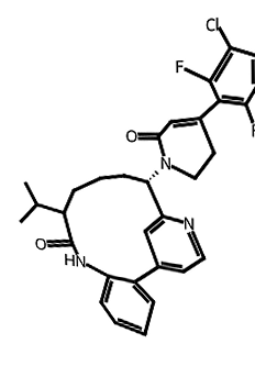 CC(C)C1CCC[C@H](N2CCC(c3c(F)ccc(Cl)c3F)=CC2=O)c2cc(ccn2)-c2ccccc2NC1=O